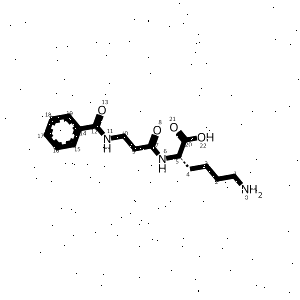 NCCCC[C@H](NC(=O)CCNC(=O)c1ccccc1)C(=O)O